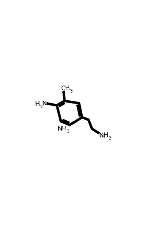 Cc1cc(CCN)ccc1N.N